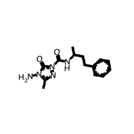 Cc1nn(C(=O)NC(C)CCc2ccccc2)c(=O)n1N